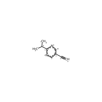 C#Cc1cnc(C(C)C)nc1